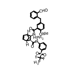 COc1ccc(Cc2ccccc2C=O)cc1C(=O)N[C@H]1[C@@H](C(=O)N(P)c2cccc(S(=O)(=O)C(F)(F)P)c2)[C@@H]2C=C[C@H]1C2